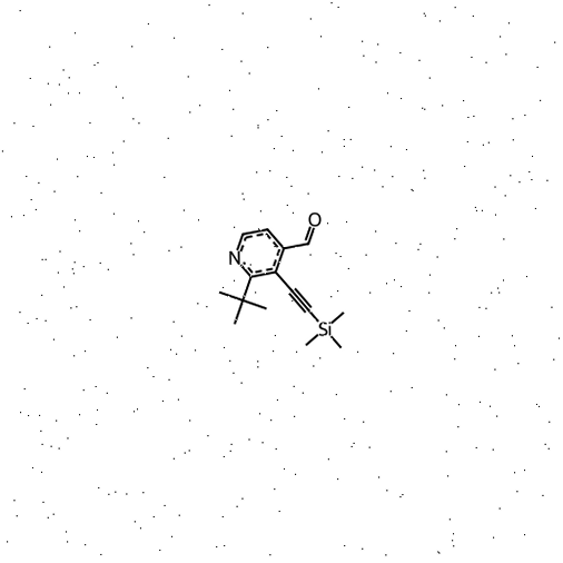 CC(C)(C)c1nccc(C=O)c1C#C[Si](C)(C)C